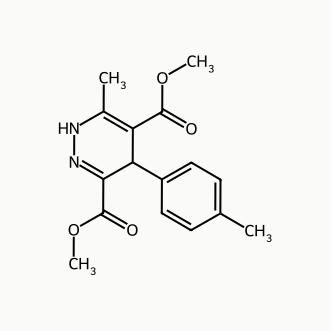 COC(=O)C1=NNC(C)=C(C(=O)OC)C1c1ccc(C)cc1